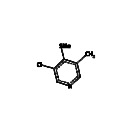 CSc1c(C)cncc1Cl